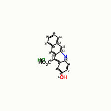 Cl.O=C(O)c1c2cc(O)ccc2nc2cc3ccccc3cc12